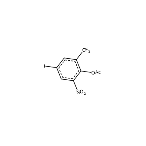 CC(=O)Oc1c([N+](=O)[O-])cc(I)cc1C(F)(F)F